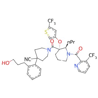 CCC[C@H]1N(C(=O)c2ncccc2C(F)(F)F)CCC[C@@]1(Oc1csc(C(F)(F)F)c1)C(=O)N1CCC(C#N)(c2ccccc2CCCO)CC1